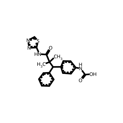 CC(C)(C(=O)Nc1nncs1)C(c1ccccc1)c1ccc(NC(=O)O)cc1